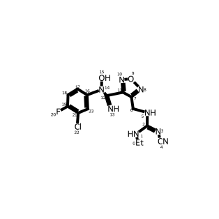 CCN/C(=N\C#N)NCc1nonc1C(=N)N(O)c1ccc(F)c(Cl)c1